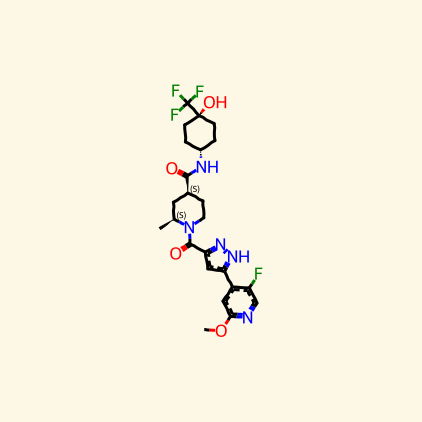 COc1cc(-c2cc(C(=O)N3CC[C@H](C(=O)N[C@H]4CC[C@@](O)(C(F)(F)F)CC4)C[C@@H]3C)n[nH]2)c(F)cn1